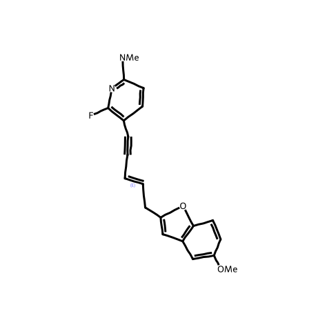 CNc1ccc(C#C/C=C/Cc2cc3cc(OC)ccc3o2)c(F)n1